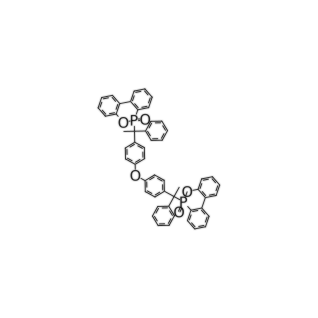 CC(c1ccccc1)(c1ccc(Oc2ccc(C(C)(c3ccccc3)P3(=O)Oc4ccccc4-c4ccccc43)cc2)cc1)P1(=O)Oc2ccccc2-c2ccccc21